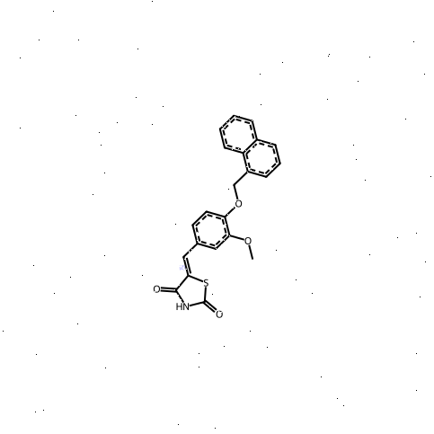 COc1cc(/C=C2\SC(=O)NC2=O)ccc1OCc1cccc2ccccc12